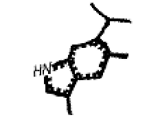 Cc1cc2c(C)c[nH]c2cc1C(C)C